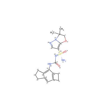 CC1(C)COc2c([S@@](N)(=O)=NC(=O)Nc3c4c(cc5c3CC5)CCC4)cnn21